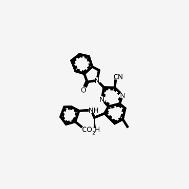 Cc1cc([C@@H](C)Nc2ccccc2C(=O)O)c2nc(N3Cc4ccccc4C3=O)c(C#N)nc2c1